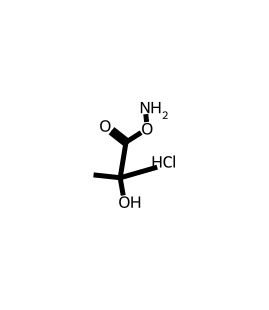 CC(C)(O)C(=O)ON.Cl